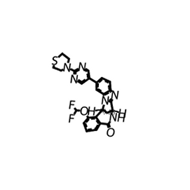 O=C1N[C@@H]2C[C@H](c3c(OC(F)F)cccc31)n1c2nc2ccc(-c3cnc(N4CCSCC4)nc3)cc21